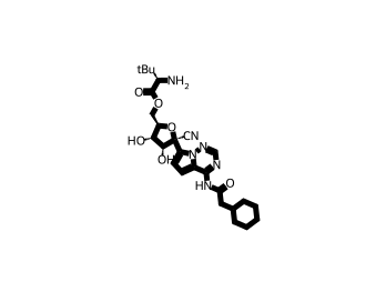 CC(C)(C)[C@H](N)C(=O)OC[C@H]1O[C@@](C#N)(c2ccc3c(NC(=O)CC4CCCCC4)ncnn23)[C@H](O)[C@@H]1O